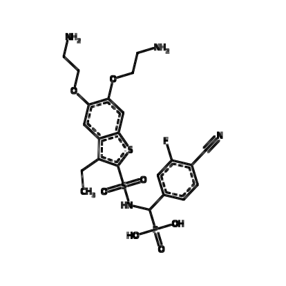 CCc1c(S(=O)(=O)NC(c2ccc(C#N)c(F)c2)P(=O)(O)O)sc2cc(OCCN)c(OCCN)cc12